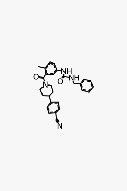 Cc1ccc(NC(=O)NCc2ccccc2)cc1C(=O)N1CCC(c2ccc(C#N)cc2)CC1